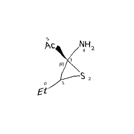 CCC1S[C@]1(N)C(C)=O